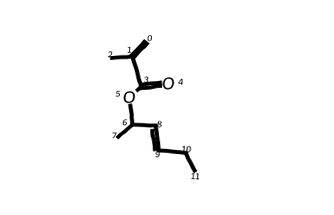 C=C(C)C(=O)OC(C)C=CCC